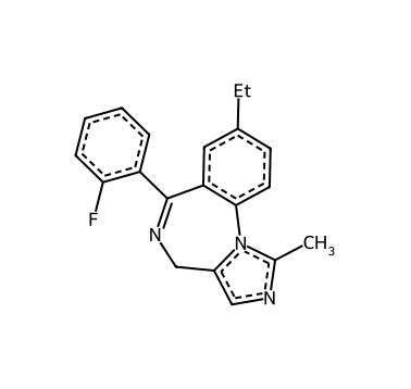 CCc1ccc2c(c1)C(c1ccccc1F)=NCc1cnc(C)n1-2